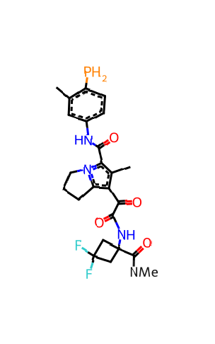 CNC(=O)C1(NC(=O)C(=O)c2c(C)c(C(=O)Nc3ccc(P)c(C)c3)n3c2CCC3)CC(F)(F)C1